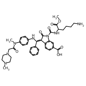 COC(=O)C(CCCCN)NC(=O)N1C(=O)/C(=C(\Nc2ccc(N(C)C(=O)CN3CCN(C)CC3)cc2)c2ccccc2)c2ccc(C(=O)O)cc21